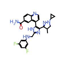 CC1CN(C2CC2)N=C1c1nc(CNc2cc(F)cc(F)c2)[nH]c1-c1ccnc2ccc(C(N)=O)cc12